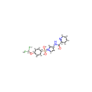 O=C(Nc1ccn(S(=O)(=O)c2ccc(OC(F)F)cc2)c1)c1ccccn1